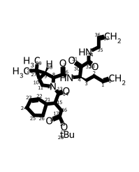 C=CCC[C@@H](NC(=O)C1[C@@H]2C(CN1C(=O)C(CC(=O)OC(C)(C)C)C1C=CCCC1)C2(C)C)C(=O)C(=O)NCC=C